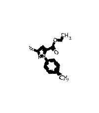 CCOC(=O)c1cc(Br)nn1-c1ccc(C)cc1